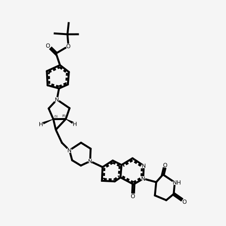 CC(C)(C)OC(=O)c1ccc(N2C[C@@H]3C(CN4CCN(c5ccc6c(=O)n(C7CCC(=O)NC7=O)ncc6c5)CC4)[C@@H]3C2)cc1